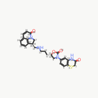 O=C1CSc2ccc(N3C[C@H](CCCNC[C@@H]4Cn5c(=O)ccc6cccc4c65)OC3=O)cc2N1